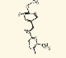 COc1ncc(CNc2ccc(I)c(C)n2)cc1F